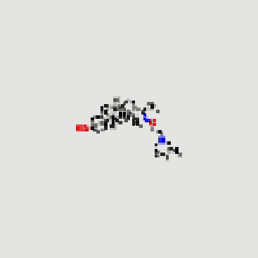 CCN(CC)CCON=C(C)C1=CC[C@H]2[C@@H]3CC=C4C[C@@H](O)CC[C@]4(C)[C@H]3CC[C@]12C